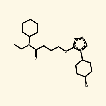 CCN(C(=O)CCCSc1nnnn1C1CCC(Br)CC1)C1CCCCC1